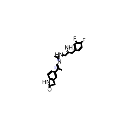 C/C(=C\N=C(/C)NC[C@@H](N)Cc1ccc(F)c(F)c1)c1ccc2c(c1)CC(=O)N2